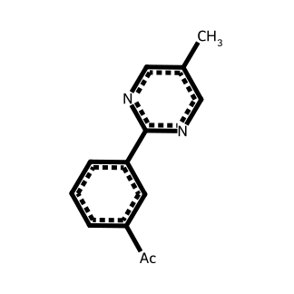 CC(=O)c1cccc(-c2ncc(C)cn2)c1